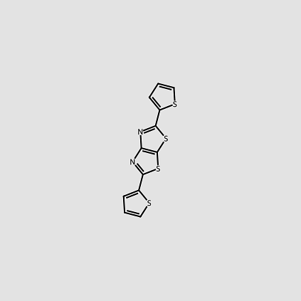 c1csc(-c2nc3nc(-c4cccs4)sc3s2)c1